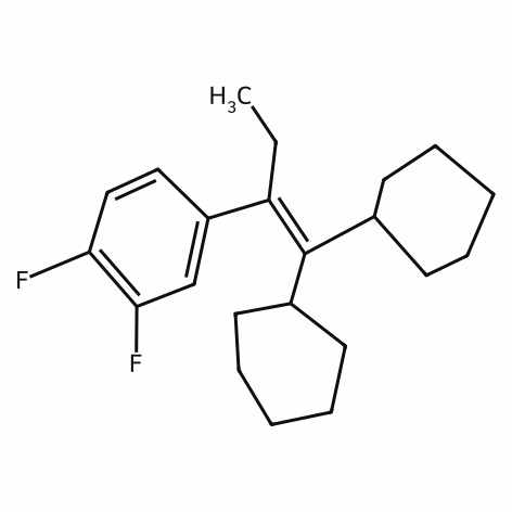 CCC(=C(C1CCCCC1)C1CCCCC1)c1ccc(F)c(F)c1